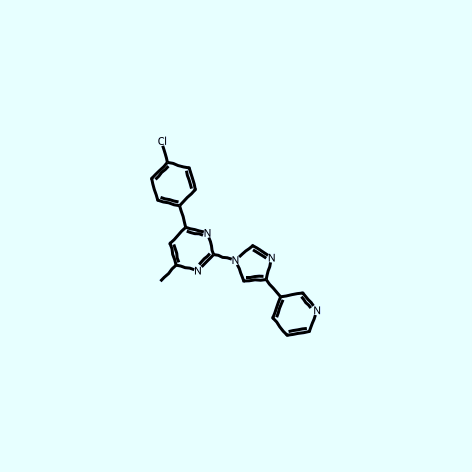 Cc1cc(-c2ccc(Cl)cc2)nc(-n2cnc(-c3cccnc3)c2)n1